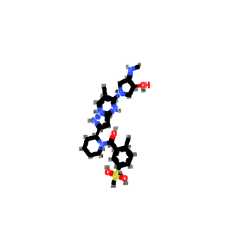 C/N=C1/CN(c2nc3cc([C@@H]4CCCCN4C(=O)c4cc(S(C)(=O)=O)ccc4C)nn3cc2C)C[C@@H]1O